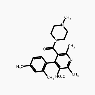 Cc1ccc(-c2c(C(=O)O)c(C)nc(C)c2C(=O)N2CCN(C)CC2)c(C)c1